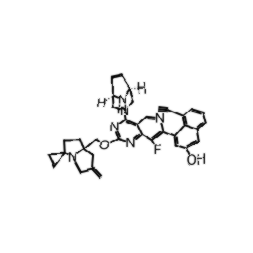 C#Cc1cccc2cc(O)cc(-c3ncc4c(N5C[C@H]6CC[C@@H](C5)N6)nc(OCC56CCC7(CC7)N5CC(=C)C6)nc4c3F)c12